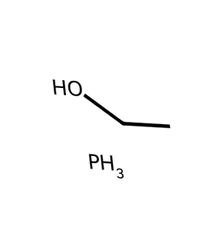 CCO.P